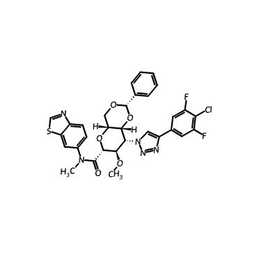 CO[C@@H]1[C@@H](n2cc(-c3cc(F)c(Cl)c(F)c3)nn2)[C@H]2O[C@@H](c3ccccc3)OC[C@H]2O[C@H]1C(=O)N(C)c1ccc2ncsc2c1